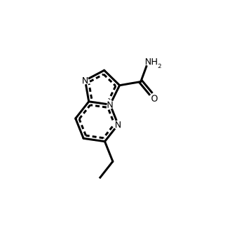 CCc1ccc2ncc(C(N)=O)n2n1